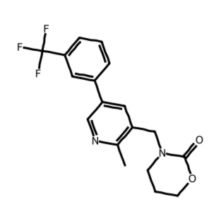 Cc1ncc(-c2cccc(C(F)(F)F)c2)cc1CN1CCCOC1=O